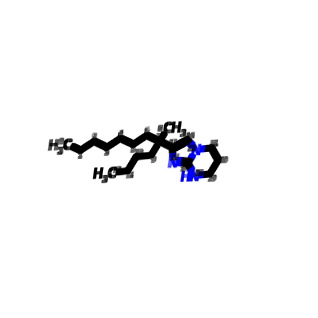 CCCCCCCC(C)(CCCC)c1cn2c(n1)NCCC2